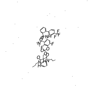 CCCNC(=O)C(COC(=O)Oc1c(F)cc(NC(=O)c2ccccc2-c2ccc(C(F)(F)F)cc2)c(C(=O)N(C)C)c1F)(C(=O)NCCC)c1ccccc1